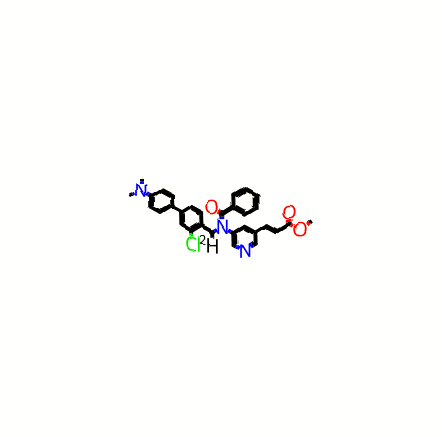 [2H]C(c1ccc(-c2ccc(N(C)C)cc2)cc1Cl)N(C(=O)c1ccccc1)c1cncc(/C=C/C(=O)OC)c1